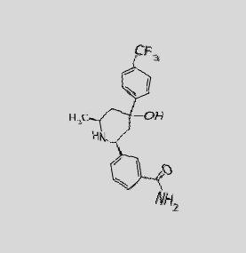 C[C@H]1CC(O)(c2ccc(C(F)(F)F)cc2)C[C@@H](c2cccc(C(N)=O)c2)N1